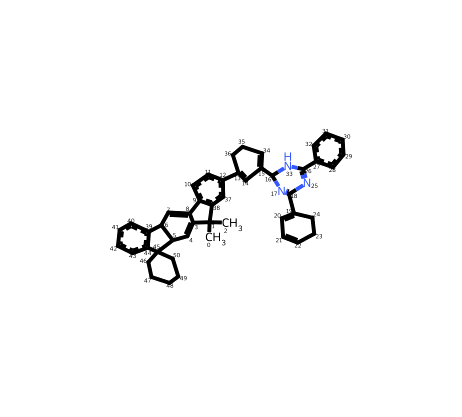 CC1(C)C2=CC3C(C=C2c2ccc(C4=CC(C5N=C(C6=CC=CCC6)N=C(c6ccccc6)N5)=CCC4)cc21)c1ccccc1C31CCCCC1